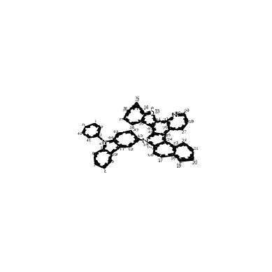 c1ccc(-n2c3ccccc3c3cc(-n4c5ccc6ccccc6c5c5c6cccnc6c6sc7ccccc7c6c54)ccc32)cc1